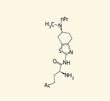 CCCN(C)[C@H]1CCc2nc(NC(=O)[C@@H](N)CCC(C)=O)sc2C1